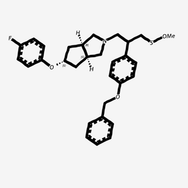 COSCC(CN1C[C@H]2C[C@H](Oc3ccc(F)cc3)C[C@H]2C1)c1ccc(OCc2ccccc2)cc1